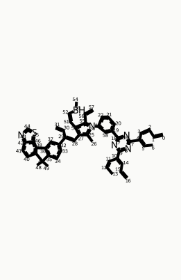 C=C/C=C\C(=C/C)c1nc(C(/C=C\C)=C/C=C)nc(-c2cccc(-n3c(C)c(/C=C(\C=C)c4ccc5c(c4)-c4c(ccc6ncsc46)C5(C)C)c(/C=C\BC)c3C=C)c2)n1